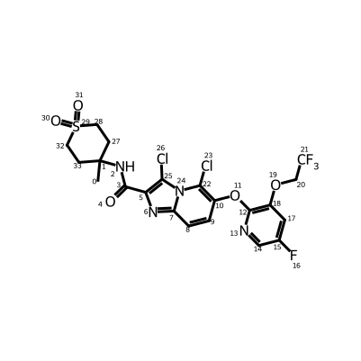 CC1(NC(=O)c2nc3ccc(Oc4ncc(F)cc4OCC(F)(F)F)c(Cl)n3c2Cl)CCS(=O)(=O)CC1